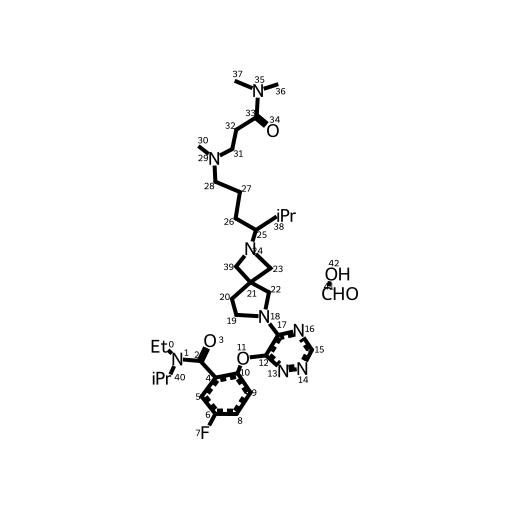 CCN(C(=O)c1cc(F)ccc1Oc1nncnc1N1CCC2(C1)CN(C(CCCN(C)CCC(=O)N(C)C)C(C)C)C2)C(C)C.O=CO